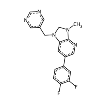 CN1CN(Cc2cncnc2)c2cc(-c3ccc(F)c(F)c3)cnc21